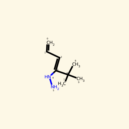 C=C/C=C(\NN)C(C)(C)C